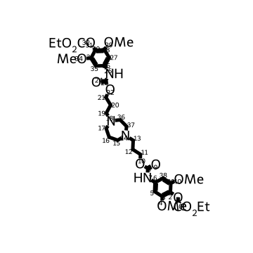 CCOC(=O)Oc1c(OC)cc(NC(=O)OCCCN2CCCN(CCCOC(=O)Nc3cc(OC)c(OC(=O)OCC)c(OC)c3)CC2)cc1OC